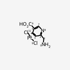 NCc1ccc(C(=O)O)cn1.[Cl][Pt][Cl]